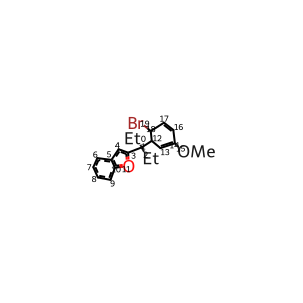 CCC(CC)(c1cc2ccccc2o1)C1C=C(OC)C=CC1Br